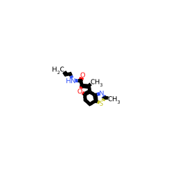 C=CCNC(=O)c1oc2c(c1C)-c1nc(C)sc1CC2